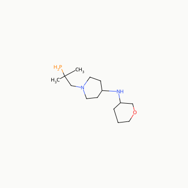 CC(C)(P)CN1CCC(NC2CCCOC2)CC1